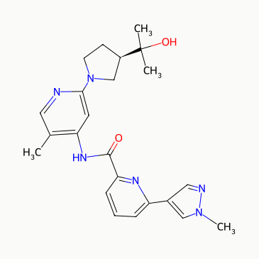 Cc1cnc(N2CC[C@@H](C(C)(C)O)C2)cc1NC(=O)c1cccc(-c2cnn(C)c2)n1